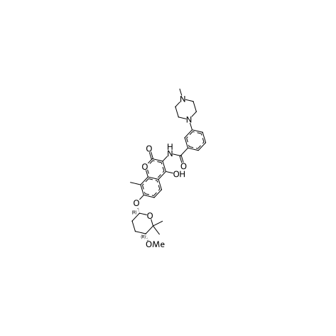 CO[C@@H]1CC[C@H](Oc2ccc3c(O)c(NC(=O)c4cccc(N5CCN(C)CC5)c4)c(=O)oc3c2C)OC1(C)C